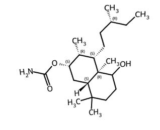 CC[C@@H](C)CC[C@H]1[C@@H](C)[C@@H](OC(N)=O)C[C@H]2C(C)(C)CCC(O)[C@]12C